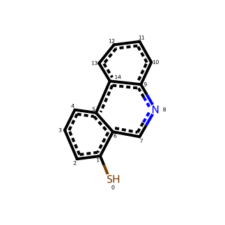 Sc1cccc2c1cnc1ccccc12